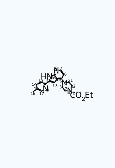 CCOC(=O)N1CCN(c2ccnc3[nH]c(-c4ccc(C)cn4)cc23)CC1